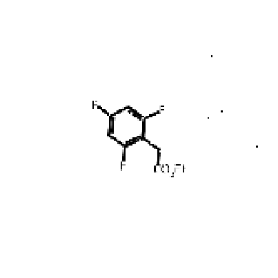 CCOC(=O)Cc1c(F)cc(F)cc1F